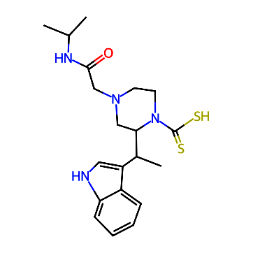 CC(C)NC(=O)CN1CCN(C(=S)S)C(C(C)c2c[nH]c3ccccc23)C1